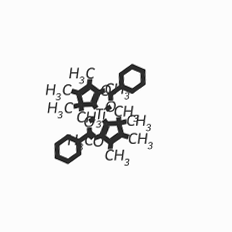 CC1=C(C)C(C)(C)[C]([Ti]([O]C(=O)C2CCCCC2)([O]C(=O)C2CCCCC2)[C]2=C(C)C(C)=C(C)C2(C)C)=C1C